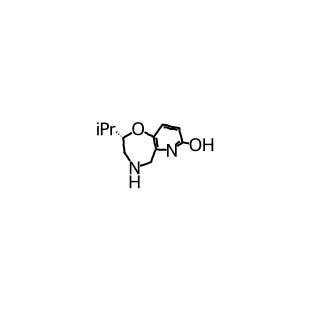 CC(C)[C@H]1CNCc2nc(O)ccc2O1